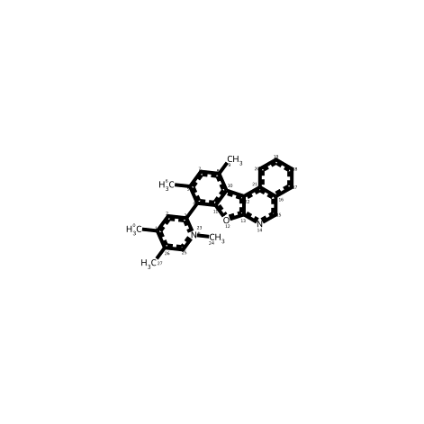 Cc1cc(-c2c(C)cc(C)c3c2oc2ncc4ccccc4c23)[n+](C)cc1C